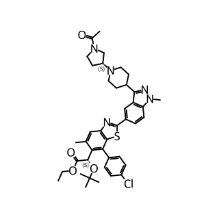 CCOC(=O)[C@@H](OC(C)(C)C)c1c(C)cc2nc(-c3ccc4c(c3)c(C3CCN([C@H]5CCN(C(C)=O)C5)CC3)nn4C)sc2c1-c1ccc(Cl)cc1